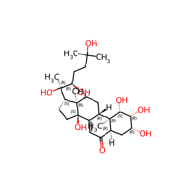 CC(C)(O)CC[C@@H](O)[C@](C)(O)[C@H]1CC[C@@]2(O)C3=CC(=O)[C@@H]4C[C@@H](O)[C@@H](O)[C@@H](O)[C@]4(C)[C@H]3CC[C@]12C